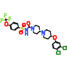 O=C(NS(=O)(=O)c1ccc(OC(F)(F)F)cc1)N1CCC(N2CCC(Oc3ccc(Cl)c(Cl)c3)CC2)CC1